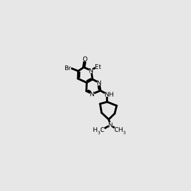 CCn1c(=O)c(Br)cc2cnc(NC3CCC(N(C)C)CC3)nc21